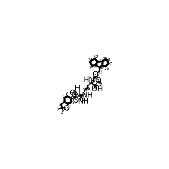 CC1(C)Cc2ccc(S(=O)(=O)NC(=N)NCCC[C@H](NC(=O)OCC3c4ccccc4-c4ccccc43)C(=O)O)cc2O1